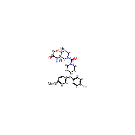 COc1ccc([C@@H](c2ccc(F)cc2)C2CCN(C(=O)N3CC[C@@H]4OCC(=O)N[C@@H]4C3)CC2)cc1